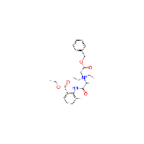 CCOC(=O)c1cccc(C)c1NC(=O)C(C)[N+](CC)(CC)CC(=O)OCc1ccccc1